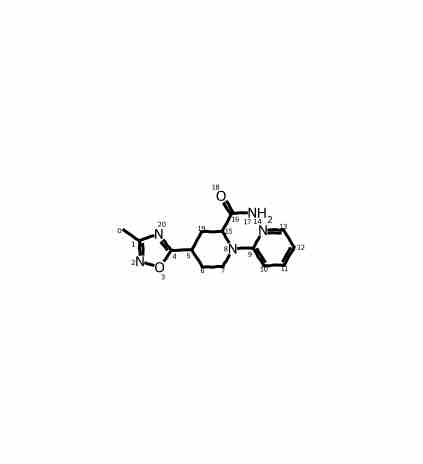 Cc1noc(C2CCN(c3cc[c]cn3)C(C(N)=O)C2)n1